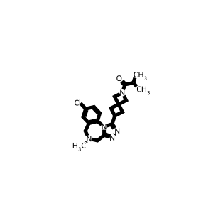 CC(C)C(=O)N1CC2(CC(c3nnc4n3-c3ccc(Cl)cc3CN(C)C4)C2)C1